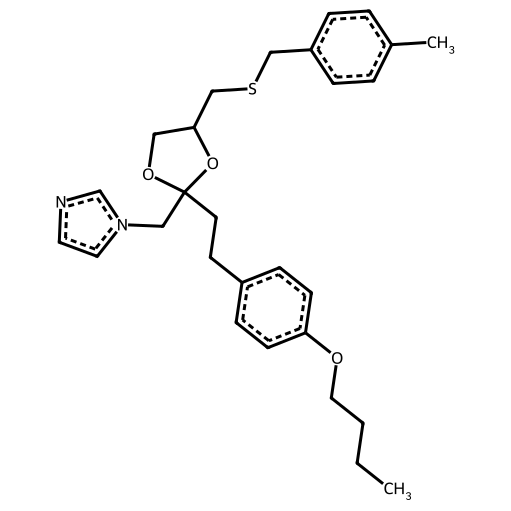 CCCCOc1ccc(CCC2(Cn3ccnc3)OCC(CSCc3ccc(C)cc3)O2)cc1